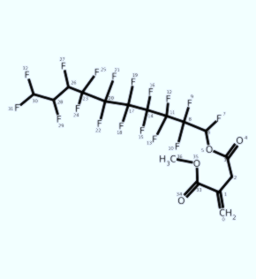 C=C(CC(=O)OC(F)C(F)(F)C(F)(F)C(F)(F)C(F)(F)C(F)(F)C(F)(F)C(F)C(F)C(F)F)C(=O)OC